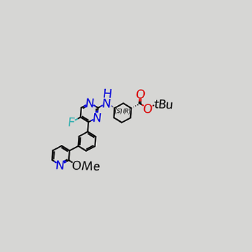 COc1ncccc1-c1cccc(-c2nc(N[C@H]3CCC[C@@H](C(=O)OC(C)(C)C)C3)ncc2F)c1